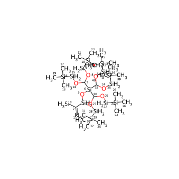 CC=C([SiH3])[SiH2]O[Si](C(O[SiH2][Si](C)(C)C)O[SiH2][Si](C)(C)C)(C(O[SiH2][Si](C)(C)C)O[SiH2][Si](C)(C)C)C(O[SiH2][Si](C)(C)C)O[SiH2][Si](C)(C)C